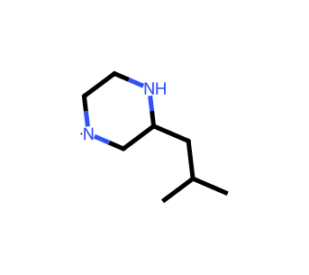 CC(C)CC1C[N]CCN1